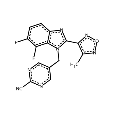 Cc1nonc1-c1nc2ccc(F)c(F)c2n1Cc1cnc(C#N)nc1